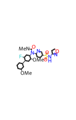 CNC(=O)N(c1ccc(S(=O)(=O)Nc2ccon2)cn1)c1cc(F)c(-c2cccc(OC)c2)cc1OC